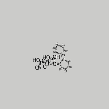 O=P(O)(O)Cl.O=P(O)(O)Cl.c1ccc(-c2ccccc2)cc1